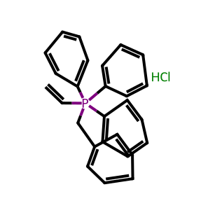 C=CP(Cc1ccccc1)(c1ccccc1)(c1ccccc1)c1ccccc1.Cl